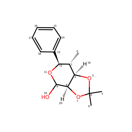 C[C@@H]1[C@H]2OC(C)(C)O[C@H]2C(O)O[C@H]1c1ccccc1